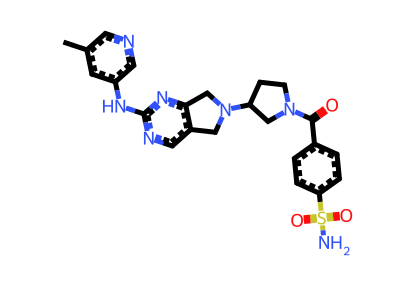 Cc1cncc(Nc2ncc3c(n2)CN(C2CCN(C(=O)c4ccc(S(N)(=O)=O)cc4)C2)C3)c1